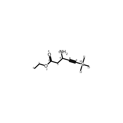 CCOC(=O)CC(N)C#C[Si](C)(C)C